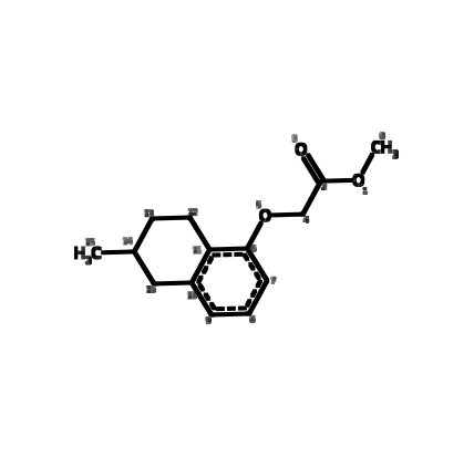 COC(=O)COc1cccc2c1CCC(C)C2